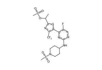 CC(OS(C)(=O)=O)c1nc(C(F)(F)F)c(-c2nc(NC3CCN(S(C)(=O)=O)CC3)ncc2F)s1